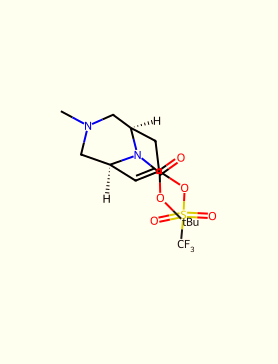 CN1C[C@H]2CC(OS(=O)(=O)C(F)(F)F)=C[C@@H](C1)N2C(=O)OC(C)(C)C